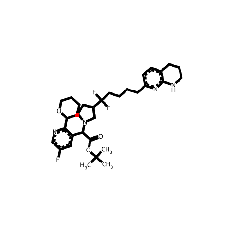 CC(C)(C)OC(=O)C(c1cc(F)cnc1C1CCCCO1)N1CCC(C(F)(F)CCCCc2ccc3c(n2)NCCC3)C1